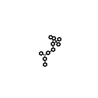 c1ccc(-c2ccc(N(c3ccccc3)c3ccc(-c4cccc(-c5ccc6c(c5)C(c5ccccc5)(c5ccccc5)c5ccc7ccccc7c5-6)c4)cc3)cc2)cc1